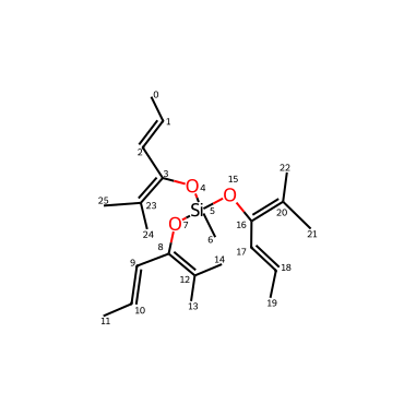 CC=CC(O[Si](C)(OC(C=CC)=C(C)C)OC(C=CC)=C(C)C)=C(C)C